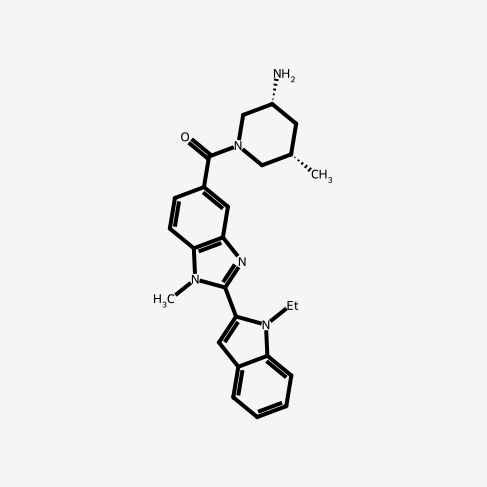 CCn1c(-c2nc3cc(C(=O)N4C[C@@H](C)C[C@@H](N)C4)ccc3n2C)cc2ccccc21